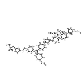 [C-]#[N+]/C(C#N)=C/c1ccc(/C=C/c2ccc(N(c3ccc(C)cc3)c3ccc(-c4ccc(-c5ccc6c(c5)C(CCCCCCCC)(CCCCCCCC)c5cc(-c7ccc(C)s7)ccc5-6)s4)cc3)cc2)s1